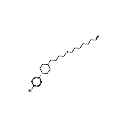 C=CCCCCCCOCCCC[C@H]1CC[C@H](c2ccc(C#N)cc2)CC1